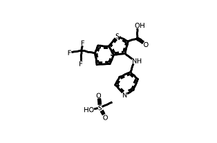 CS(=O)(=O)O.O=C(O)c1sc2cc(C(F)(F)F)ccc2c1Nc1ccncc1